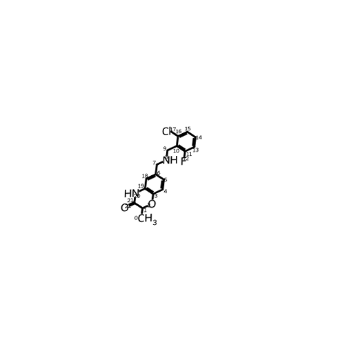 CC1Oc2ccc(CNCc3c(F)cccc3Cl)cc2NC1=O